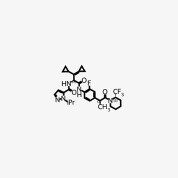 CC(C)n1nccc1C(=O)N[C@H](C(=O)Nc1ccc([C@H](C)C(=O)N2CCCC[C@H]2C(F)(F)F)cc1F)C(=C1CC1)C1CC1